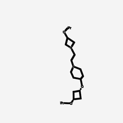 CC(C)OC1CN(CCN2CCC(O[C@H]3C[C@H](OC(C)C)C3)CC2)C1